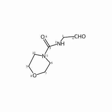 O=CCNC(=O)N1CCOCC1